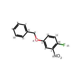 O=[N+]([O-])c1cc(OCc2ccccc2)ccc1F